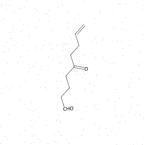 C=CCCC(=O)CCCC=O